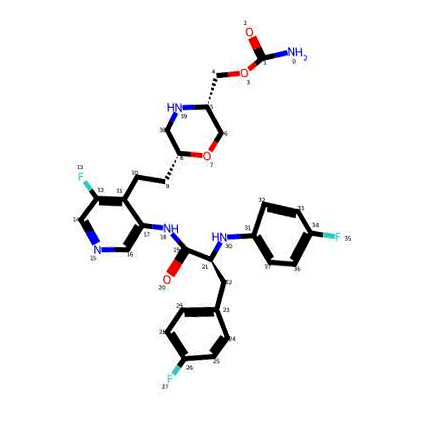 NC(=O)OC[C@@H]1CO[C@H](CCc2c(F)cncc2NC(=O)[C@H](Cc2ccc(F)cc2)Nc2ccc(F)cc2)CN1